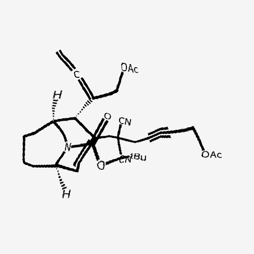 C=C=C(COC(C)=O)[C@@H]1C(C(C#N)(C#N)C#CCOC(C)=O)=C[C@H]2CC[C@@H]1N2C(=O)OC(C)(C)C